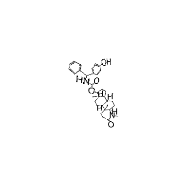 CN1C(=O)CC[C@]2(C)[C@H]3CC[C@]4(C)[C@@H](OC(=O)NC(c5ccccc5)c5ccc(O)cc5)CC[C@H]4[C@@H]3CC[C@@H]12